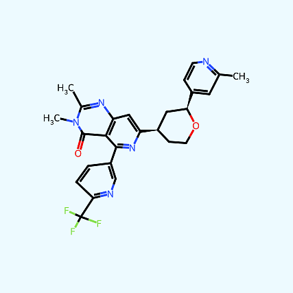 Cc1cc([C@@H]2C[C@H](c3cc4nc(C)n(C)c(=O)c4c(-c4ccc(C(F)(F)F)nc4)n3)CCO2)ccn1